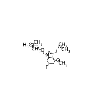 COc1cc(F)cc2c1c(CCN(C)C)nn2COCC[Si](C)(C)C